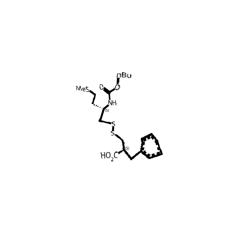 CCCCOC(=O)N[C@@H](CCSC)CSSC[C@@H](Cc1ccccc1)C(=O)O